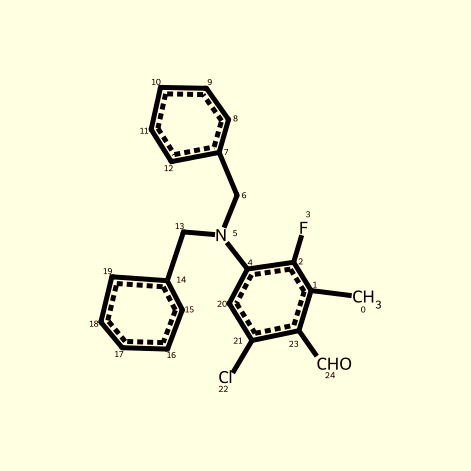 Cc1c(F)c(N(Cc2ccccc2)Cc2ccccc2)cc(Cl)c1C=O